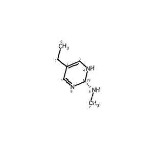 CCC1=CN[C@H](NC)N=C1